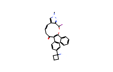 Cn1cc2c(n1)C(I)O/C(c1ccccc1)=C(/c1ccc(C3(N)CCC3)cc1)C(=O)C/C=C\2